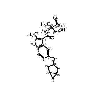 Cc1oc2ccc(OC3CC4CC4C3)cc2c1C(=O)NC(C)(CO)C(N)=O